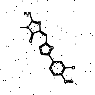 COc1ccc(-c2ccc(/C=C3/N=C(N)N(C)C3=O)o2)cc1Cl